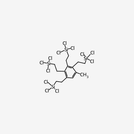 Cc1cc(CC[Si](Cl)(Cl)Cl)c(CC[Si](Cl)(Cl)Cl)c(CC[Si](Cl)(Cl)Cl)c1CC[Si](Cl)(Cl)Cl